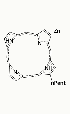 CCCCCc1cc2cc3nc(cc4ccc(cc5nc(cc1[nH]2)C=C5)[nH]4)C=C3.[Zn]